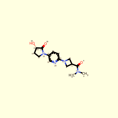 CN(C)C(=O)C1CN(c2ccc(N3CC[C@H](O)C3=O)cn2)C1